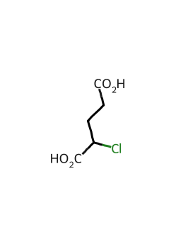 O=C(O)CCC(Cl)C(=O)O